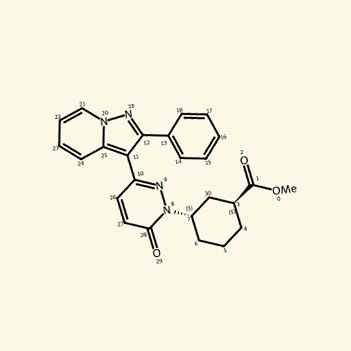 COC(=O)[C@H]1CCC[C@H](n2nc(-c3c(-c4ccccc4)nn4ccccc34)ccc2=O)C1